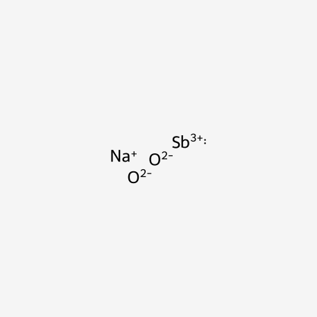 [Na+].[O-2].[O-2].[Sb+3]